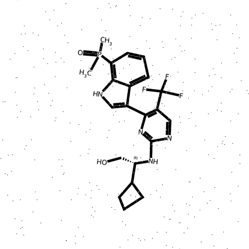 CP(C)(=O)c1cccc2c(-c3nc(N[C@@H](CO)C4CCC4)ncc3C(F)(F)F)c[nH]c12